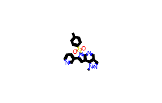 Cc1ccc(S(=O)(=O)n2c(-c3cccnc3)cc3c4c(cnc32)cnn4C)cc1